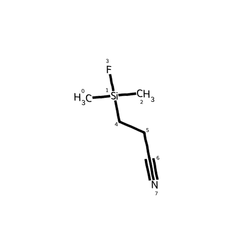 C[Si](C)(F)CCC#N